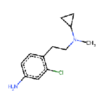 CN(CCc1ccc(N)cc1Cl)C1CC1